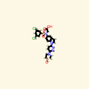 O=C(O)CN(c1ccc2c(ccn2-c2ccc(N3CC[S+]([O-])CC3)nn2)c1)S(=O)(=O)C1C=C(Cl)C=C(Cl)C1